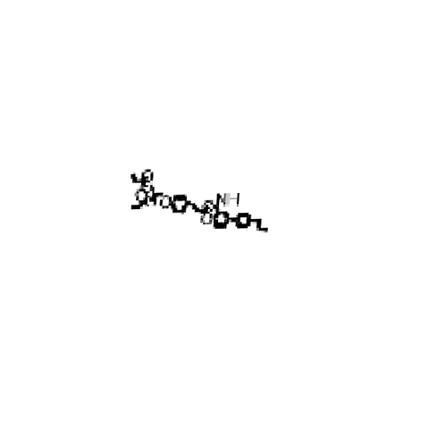 C=CC(=O)OCC(COc1ccc(/C=C/C(=O)Oc2ccc(-c3ccc(CCC)cc3)cc2C=N)cc1)OC(=O)C=C